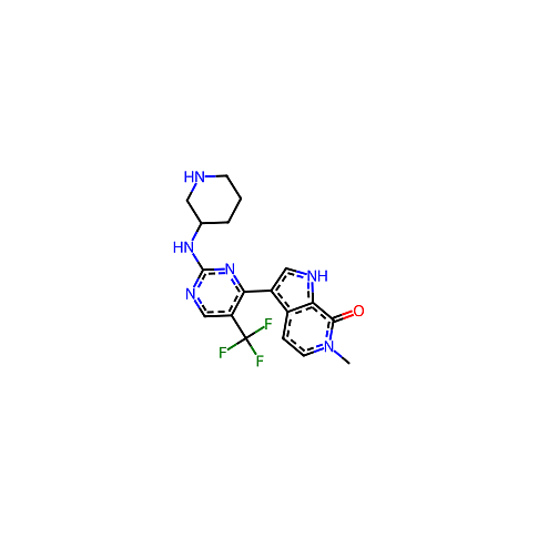 Cn1ccc2c(-c3nc(NC4CCCNC4)ncc3C(F)(F)F)c[nH]c2c1=O